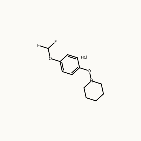 Cl.FC(F)Oc1ccc(ON2CCCCC2)cc1